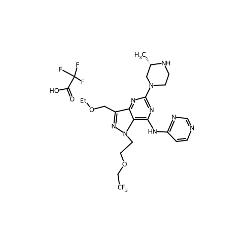 CCOCc1nn(CCOCC(F)(F)F)c2c(Nc3ccncn3)nc(N3CCN[C@@H](C)C3)nc12.O=C(O)C(F)(F)F